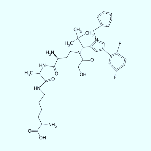 CC(NC(=O)[C@@H](N)CCN(C(=O)CO)[C@@H](c1cc(-c2cc(F)ccc2F)cn1Cc1ccccc1)C(C)(C)C)C(=O)NCCCC[C@H](N)C(=O)O